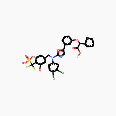 COC(=O)C(Oc1cccc(-c2cnc(N(Cc3ccc(C(F)(F)P(=O)(O)O)c(Br)c3)c3ccc(Cl)c(Cl)c3)o2)c1)c1ccccc1